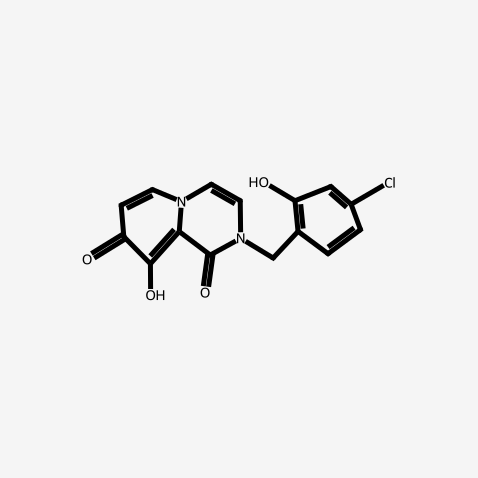 O=c1ccn2ccn(Cc3ccc(Cl)cc3O)c(=O)c2c1O